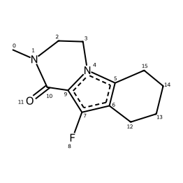 CN1CCn2c3c(c(F)c2C1=O)CCCC3